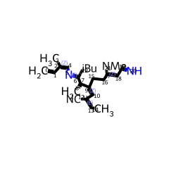 C=C/C(C)=C\N=C(\C(=C)/C(=C\C(C#N)=C/C)CC/C(=C/C=N)NC)C(C)CC